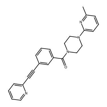 Cc1cccc(N2CCN(C(=O)c3cccc(C#Cc4ccccn4)c3)CC2)n1